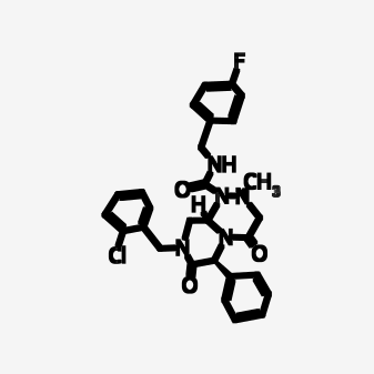 CN1CC(=O)N2[C@@H](c3ccccc3)C(=O)N(Cc3ccccc3Cl)C[C@@H]2N1C(=O)NCc1ccc(F)cc1